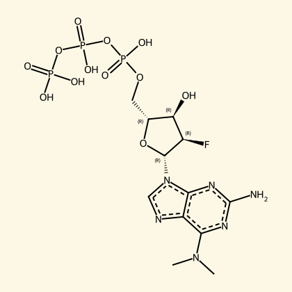 CN(C)c1nc(N)nc2c1ncn2[C@@H]1O[C@H](COP(=O)(O)OP(=O)(O)OP(=O)(O)O)[C@@H](O)[C@H]1F